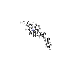 Cc1cc2c(cc1C(=O)O)NC(=O)/C2=C(\Nc1ccc(C(=O)NCCC(=O)N2CCN(C)CC2)cc1)c1ccccc1